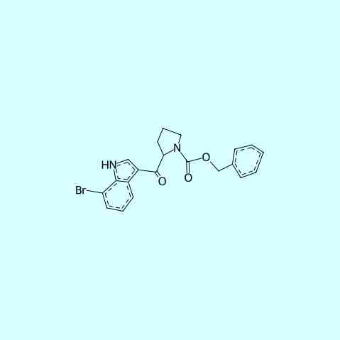 O=C(c1c[nH]c2c(Br)cccc12)C1CCCN1C(=O)OCc1ccccc1